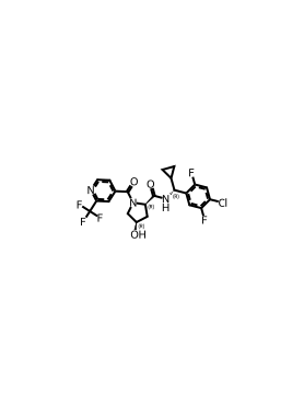 O=C(N[C@@H](c1cc(F)c(Cl)cc1F)C1CC1)[C@H]1C[C@@H](O)CN1C(=O)c1ccnc(C(F)(F)F)c1